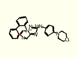 C1=C[N+]2(c3ccccc3-c3ccccc3)N=C(Nc3ccc(N4CCOCC4)cc3)N=C2C=N1